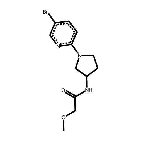 COCC(=O)NC1CCN(c2ccc(Br)cn2)C1